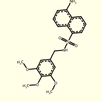 COc1cc(CNS(=O)(=O)c2cccc3c(N)cccc23)cc(OC)c1OC